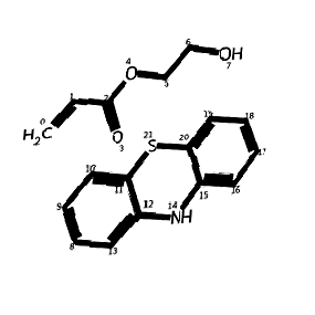 C=CC(=O)OCCO.c1ccc2c(c1)Nc1ccccc1S2